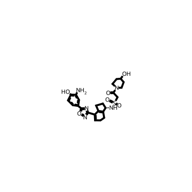 Nc1cc(-c2nc(C3=CCCC4=C3CC[C@@H]4NS(=O)(=O)CC(=O)N3CCC(O)CC3)no2)ccc1O